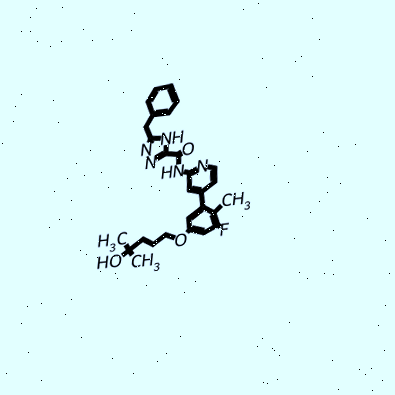 Cc1c(F)cc(OCCCC(C)(C)O)cc1-c1ccnc(NC(=O)c2nnc(Cc3ccccc3)[nH]2)c1